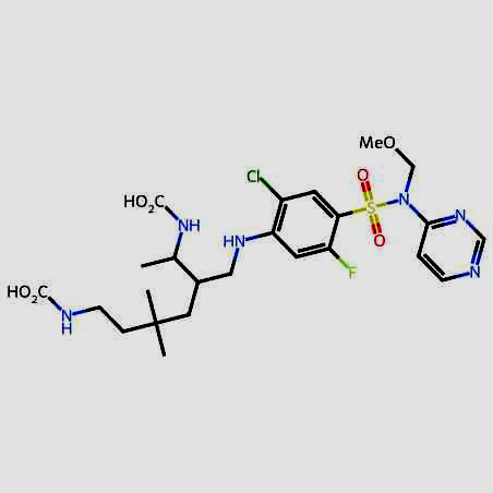 COCN(c1ccncn1)S(=O)(=O)c1cc(Cl)c(NCC(CC(C)(C)CCNC(=O)O)C(C)NC(=O)O)cc1F